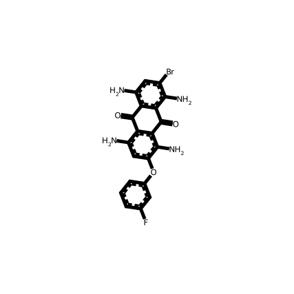 Nc1cc(Br)c(N)c2c1C(=O)c1c(N)cc(Oc3cccc(F)c3)c(N)c1C2=O